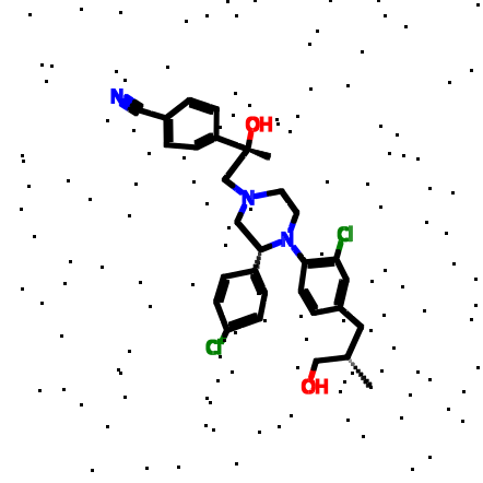 C[C@H](CO)Cc1ccc(N2CCN(C[C@@](C)(O)c3ccc(C#N)cc3)C[C@H]2c2ccc(Cl)cc2)c(Cl)c1